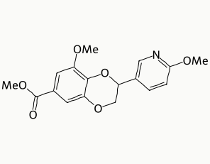 COC(=O)c1cc(OC)c2c(c1)OCC(c1ccc(OC)nc1)O2